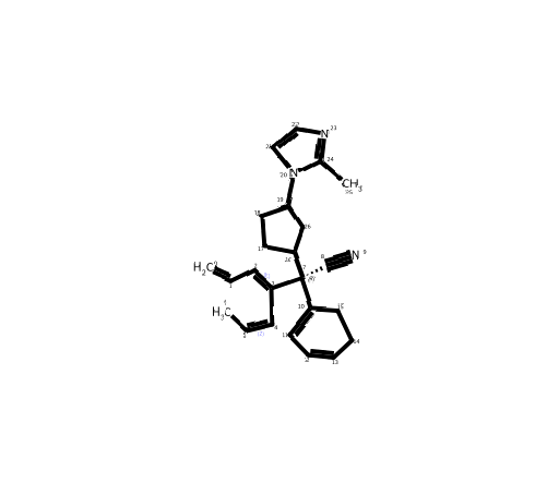 C=C/C=C(\C=C/C)[C@](C#N)(C1=CC=CCC1)C1CCC(n2ccnc2C)C1